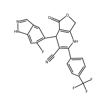 N#CC1=C(c2ccc(C(F)(F)F)cc2)NC2=C(C(=O)OC2)C1c1cc2cn[nH]c2cc1F